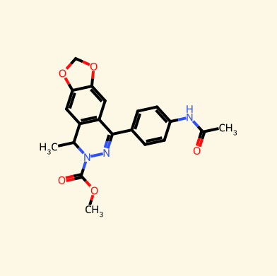 COC(=O)N1N=C(c2ccc(NC(C)=O)cc2)c2cc3c(cc2C1C)OCO3